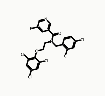 O=C(c1cncc(F)c1)N(CCOc1c(Cl)cc(Cl)cc1Cl)Cc1ccc(Cl)cc1Cl